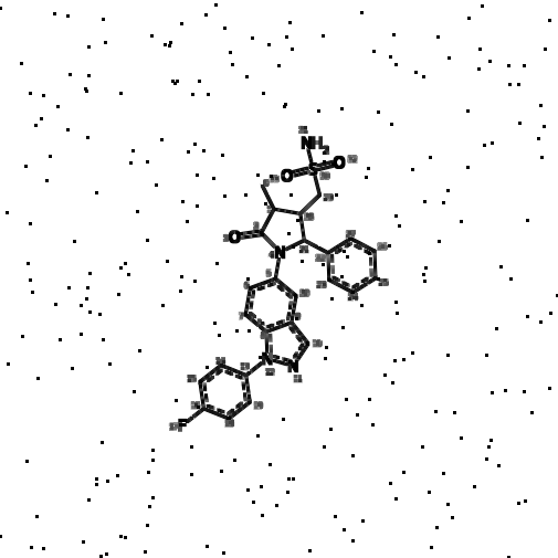 CC1C(=O)N(c2ccc3c(cnn3-c3ccc(F)cc3)c2)C(c2ccccc2)C1CS(N)(=O)=O